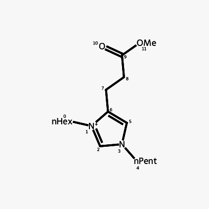 CCCCCC[n+]1cn(CCCCC)cc1CCC(=O)OC